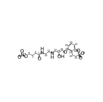 O=C(CCCO[N+](=O)[O-])NCCNCC(O)COc1cccc2c1CCS(=O)(=O)O2